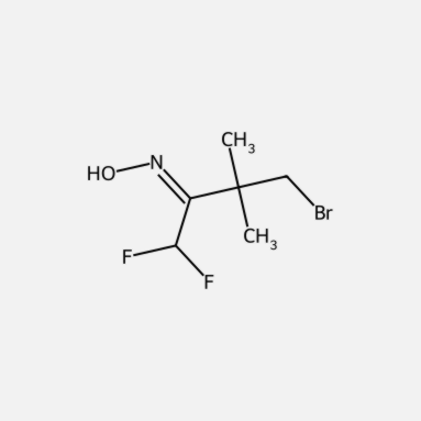 CC(C)(CBr)C(=NO)C(F)F